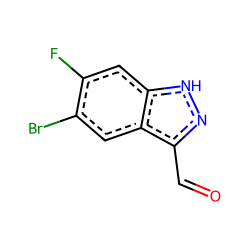 O=Cc1n[nH]c2cc(F)c(Br)cc12